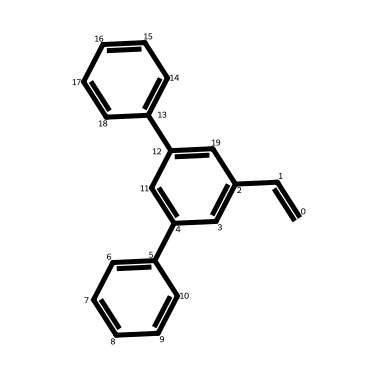 C=Cc1cc(-c2ccccc2)cc(-c2ccccc2)c1